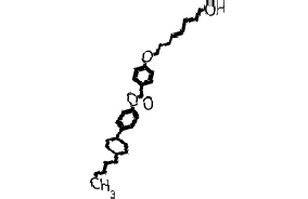 CCCCCC1CCC(c2ccc(OC(=O)c3ccc(OCCCCCCCCO)cc3)cc2)CC1